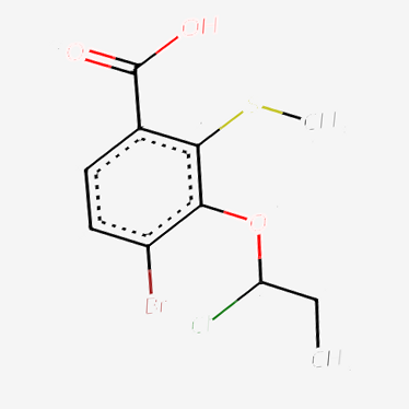 CCC(Cl)Oc1c(Br)ccc(C(=O)O)c1SC